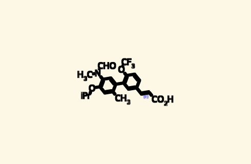 Cc1cc(OC(C)C)c(N(C)C=O)cc1-c1cc(/C=C/C(=O)O)ccc1OC(F)(F)F